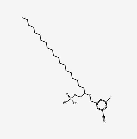 CCCCCCCCCCCCCCCCCCCCC(COP(=O)(O)O)OCc1cc(F)cc(C#N)c1